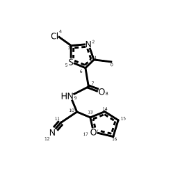 Cc1nc(Cl)sc1C(=O)NC(C#N)c1ccco1